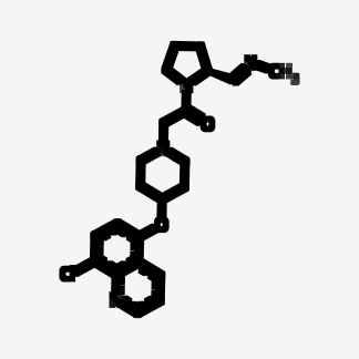 CN=C[C@@H]1CCCN1C(=O)CN1CCC(Oc2ccc(Cl)c3ncccc23)CC1